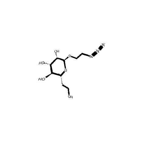 [N-]=[N+]=NCCO[C@H]1O[C@H](CCO)[C@@H](O)[C@H](O)[C@@H]1O